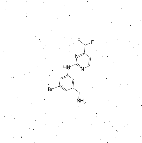 NCc1cc(Br)cc(Nc2nccc(C(F)F)n2)c1